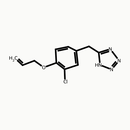 C=CCOc1ccc(Cc2nnn[nH]2)cc1Cl